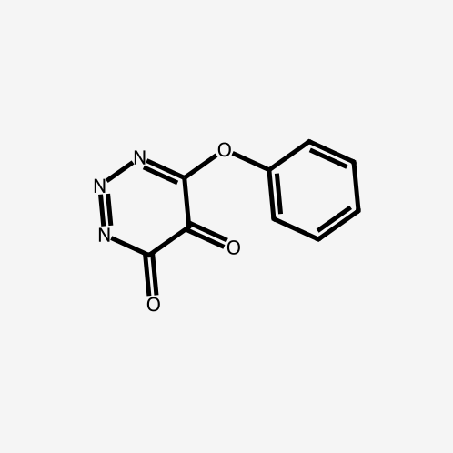 O=C1N=NN=C(Oc2ccccc2)C1=O